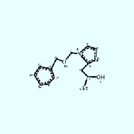 CC[C@H](O)Cc1nccn1COCc1ccccc1